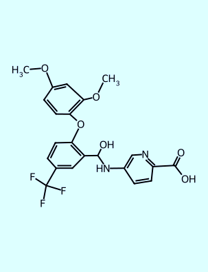 COc1ccc(Oc2ccc(C(F)(F)F)cc2C(O)Nc2ccc(C(=O)O)nc2)c(OC)c1